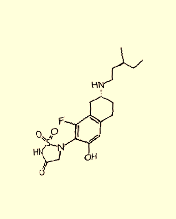 CCC(C)CCN[C@@H]1CCc2cc(O)c(N3CC(=O)NS3(=O)=O)c(F)c2C1